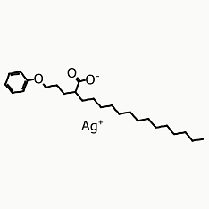 CCCCCCCCCCCCCCC(CCCOc1ccccc1)C(=O)[O-].[Ag+]